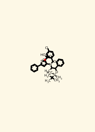 CC(C(O[Si](C)(C)C(C)(C)C)c1ccccc1)N(C(=O)c1ccc(Cl)cc1Cl)c1cc(-c2ccccc2)sc1C(=O)O